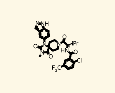 CC(C)[C@@H](NC(=O)c1cc(C(F)(F)F)ccc1Cl)C(=O)N1CCC2(CC1)C(=O)N(C)C(=O)N2c1ccc2[nH]ncc2c1